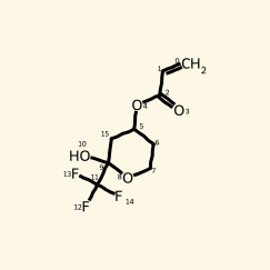 C=CC(=O)OC1CCOC(O)(C(F)(F)F)C1